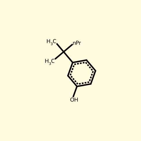 CCCC(C)(C)c1cccc(O)c1